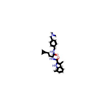 Cc1c(C(=O)NC(CCC2CC2)C(=O)NCc2ccc(CN(C)C)cc2)[nH]c2c(C)cccc12